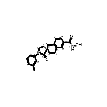 Cc1cccc(N2CC[C@]3(CCc4cc(C(=O)NO)ccc4C3)C2=O)c1